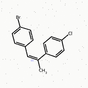 C/C(=C/c1ccc(Br)cc1)c1ccc(Cl)cc1